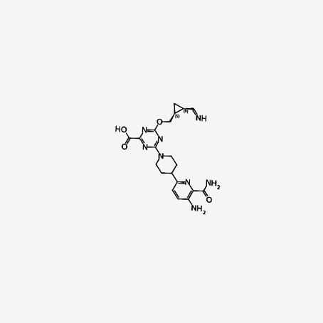 N=C[C@@H]1C[C@@H]1COc1nc(C(=O)O)nc(N2CCC(c3ccc(N)c(C(N)=O)n3)CC2)n1